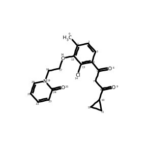 Cc1ccc(C(=O)CC(=O)C2CC2)c(Cl)c1OCCn1ccccc1=O